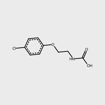 O=C(O)NCCOc1ccc(Cl)cc1